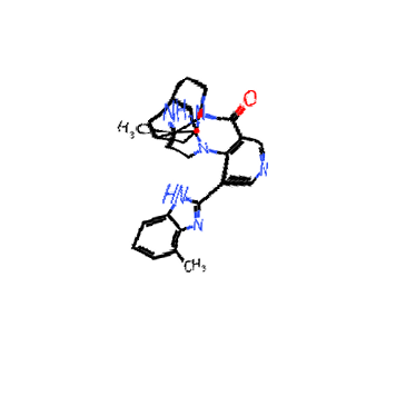 Cc1cccc2[nH]c(-c3cncc(C(=O)N4C5CC6CC(C5)CC4C6)c3N3CC[C@](C)(N)C3)nc12